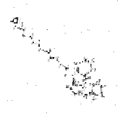 CCCCCCCCCCCCCCC[n+]1ccn(Cc2ccccc2)c1Cc1ccccc1